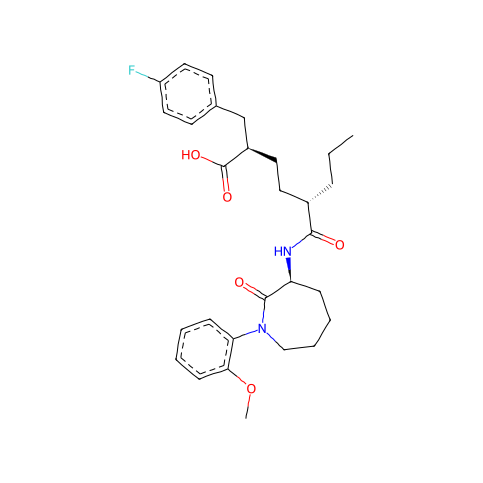 CCC[C@@H](CC[C@H](Cc1ccc(F)cc1)C(=O)O)C(=O)N[C@H]1CCCCN(c2ccccc2OC)C1=O